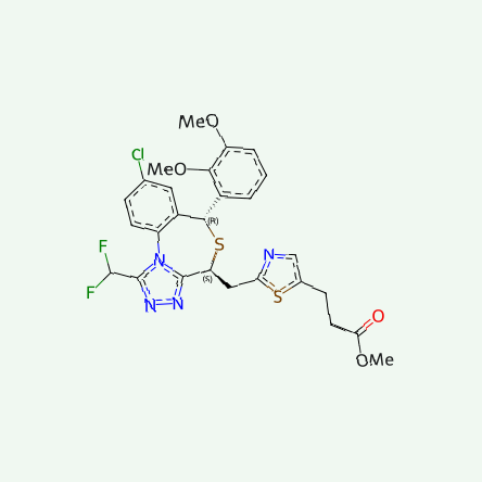 COC(=O)CCc1cnc(C[C@@H]2S[C@@H](c3cccc(OC)c3OC)c3cc(Cl)ccc3-n3c(C(F)F)nnc32)s1